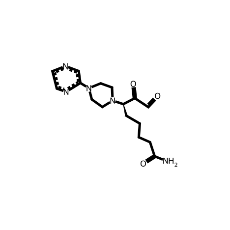 NC(=O)CCCC[C@H](C(=O)C=O)N1CCN(c2cnccn2)CC1